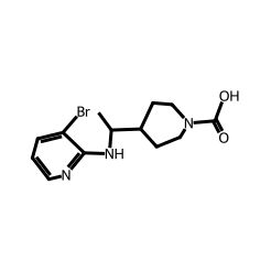 CC(Nc1ncccc1Br)C1CCN(C(=O)O)CC1